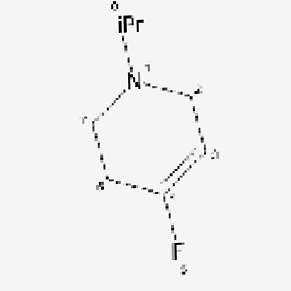 CC(C)N1CC=C(F)CC1